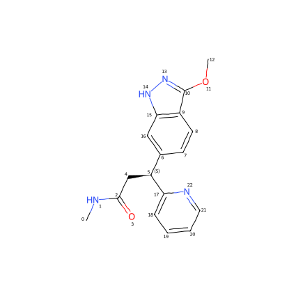 CNC(=O)C[C@@H](c1ccc2c(OC)n[nH]c2c1)c1ccccn1